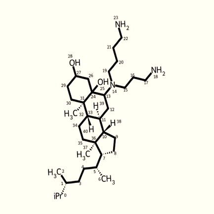 CC(C)[C@H](C)CC[C@@H](C)[C@H]1CC[C@H]2[C@@H]3CC(N(CCCN)CCCCN)C4(O)CC(O)CC[C@]4(C)[C@H]3CC[C@]12C